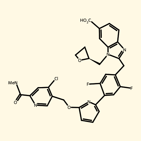 CNC(=O)c1cc(Cl)c(COc2cccc(-c3cc(F)c(Cc4nc5ccc(C(=O)O)cc5n4C[C@@H]4CCO4)cc3F)n2)cn1